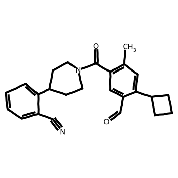 Cc1cc(C2CCC2)c(C=O)cc1C(=O)N1CCC(c2ccccc2C#N)CC1